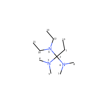 [CH2]CC(N(C)C)(N(C)C)N(CC)CC